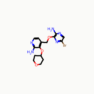 Nc1ncc(Br)nc1OCc1ccnc(N)c1OC1CCOCC1